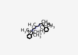 C=C(/C=C/C(C)=C/C=C1/N(C)c2ccccc2C1(C)C)C(C)(C)c1ccccc1C